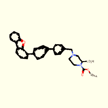 CC(C)(C)OC(=O)N1CCN(Cc2ccc(-c3ccc(-c4cccc5c4oc4ccccc45)cc3)cc2)CC1C(=O)O